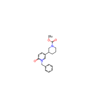 CC(C)(C)OC(=O)N1CCCC(c2ccc(=O)n(Cc3ccccc3)c2)C1